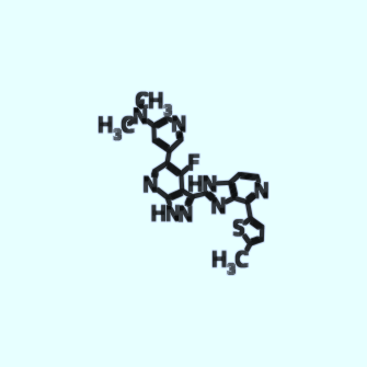 Cc1ccc(-c2nccc3[nH]c(-c4n[nH]c5ncc(-c6cncc(N(C)C)c6)c(F)c45)nc23)s1